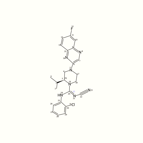 CC(C)[C@H]1CN(c2cnc3cc(F)ccc3n2)CCN1/C(=N\C#N)Nc1ccccc1Cl